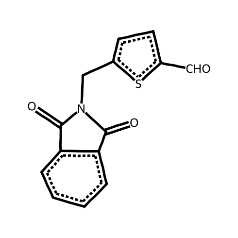 O=Cc1ccc(CN2C(=O)c3ccccc3C2=O)s1